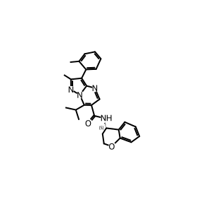 Cc1ccccc1-c1c(C)nn2c(C(C)C)c(C(=O)N[C@H]3CCOc4ccccc43)cnc12